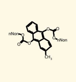 CCCCCCCCCOC(=O)Oc1c2ccccc2c(OC(=O)OCCCCCCCCC)c2cc(C)ccc12